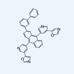 c1ccc(-c2cccc(-c3ccc4c(-c5cncc(-c6cnco6)c5)c5ccccc5c(-c5cncc(-c6cnco6)c5)c4c3)c2)cc1